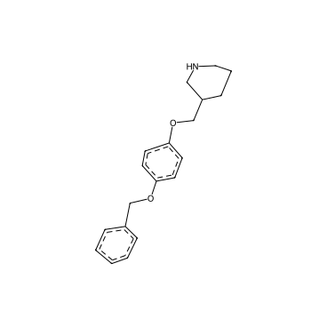 c1ccc(COc2ccc(OCC3CCCNC3)cc2)cc1